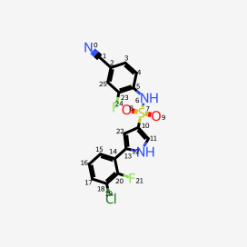 N#Cc1ccc(NS(=O)(=O)c2c[nH]c(-c3cccc(Cl)c3F)c2)c(F)c1